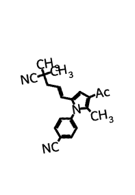 CC(=O)c1cc(/C=C/CC(C)(C)C#N)n(-c2ccc(C#N)cc2)c1C